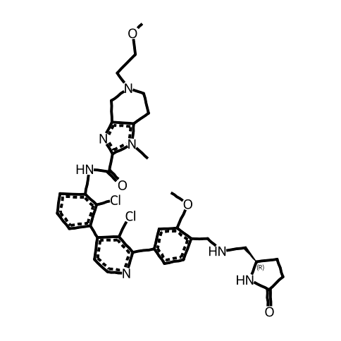 COCCN1CCc2c(nc(C(=O)Nc3cccc(-c4ccnc(-c5ccc(CNC[C@H]6CCC(=O)N6)c(OC)c5)c4Cl)c3Cl)n2C)C1